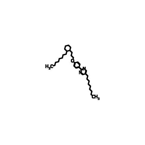 CCCCCCCCCc1cnc(-c2ccc(OCCCC3CCCCC3CCCCCCCC)cc2)nc1